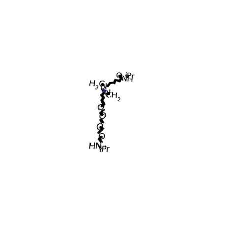 C=N/C(=C\N(C)CCCCCC(=O)NC(C)C)CCCCOCCOCCOCCOCCNC(C)C